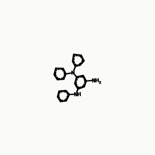 Nc1cc(Nc2ccccc2)cc(N(c2ccccc2)c2ccccc2)c1